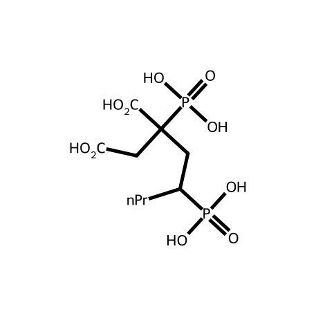 CCCC(CC(CC(=O)O)(C(=O)O)P(=O)(O)O)P(=O)(O)O